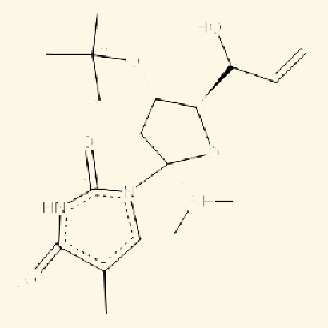 C=CC(O)[C@H]1O[C@](n2cc(C)c(=O)[nH]c2=O)([SiH](C)C)C[C@@H]1OC(C)(C)C